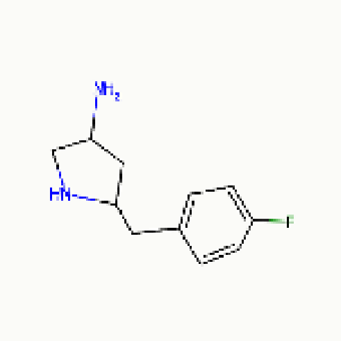 NC1CNC(Cc2ccc(F)cc2)C1